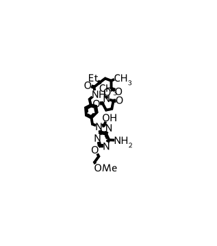 CCC(C)(CC(C)C(=O)ON1C(=O)CCC1=O)C(=O)NCc1ccc(Cn2c(O)nc3c(N)nc(OCCOC)nc32)cc1